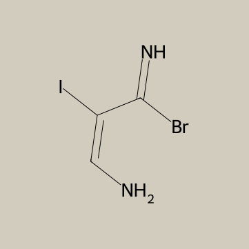 N=C(Br)/C(I)=C\N